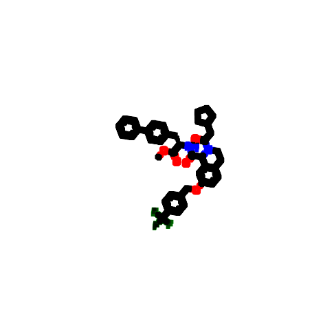 COC(=O)[C@H](Cc1ccc(-c2ccccc2)cc1)NC(=O)C1c2cc(OCc3ccc(C(F)(F)F)cc3)ccc2CCN1C(=O)CC1CCCC1